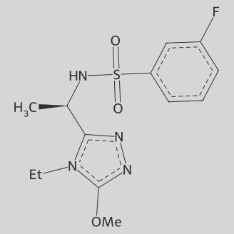 CCn1c(OC)nnc1[C@@H](C)NS(=O)(=O)c1cccc(F)c1